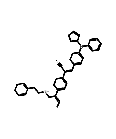 C/C=C(\CNCCC1=CCCC=C1)C1=CC=C(/C(C#N)=C/C2=CC=C(N(C3=CCC=C3)c3ccccc3)CC2)CC1